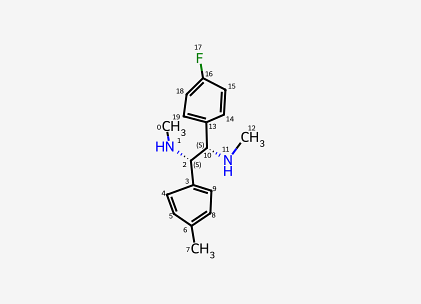 CN[C@@H](c1ccc(C)cc1)[C@@H](NC)c1ccc(F)cc1